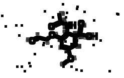 COc1cc(OCC=O)c(NC(C)=O)c(C(=O)O)c1